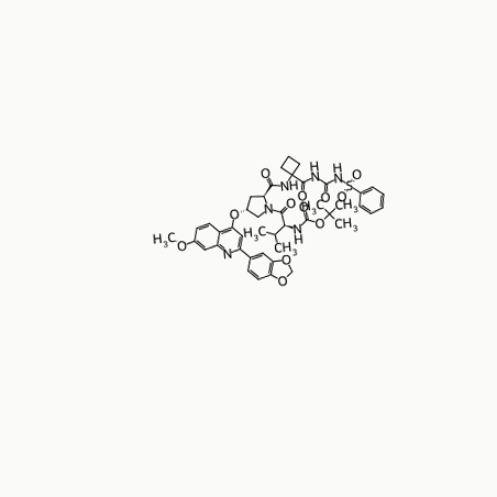 COc1ccc2c(O[C@@H]3C[C@@H](C(=O)NC4(C(=O)NC(=O)NS(=O)(=O)c5ccccc5)CCC4)N(C(=O)[C@@H](NC(=O)OC(C)(C)C)C(C)C)C3)cc(-c3ccc4c(c3)OCO4)nc2c1